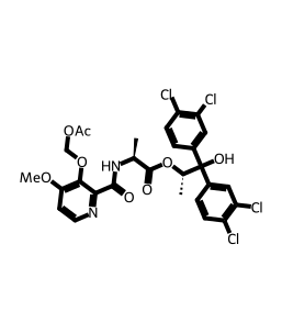 COc1ccnc(C(=O)N[C@@H](C)C(=O)O[C@@H](C)C(O)(c2ccc(Cl)c(Cl)c2)c2ccc(Cl)c(Cl)c2)c1OCOC(C)=O